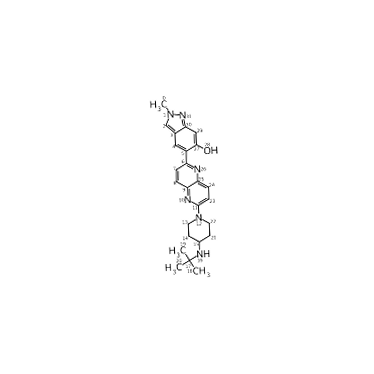 Cn1cc2cc(-c3ccc4nc(N5CCC(NC(C)(C)C)CC5)ccc4n3)c(O)cc2n1